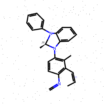 C=Nc1ccc(N2c3ccccc3N(c3ccccc3)[C@@H]2C)c(C)c1/C=C\C